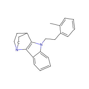 Cc1ccccc1CCn1c2c(c3ccccc31)N1CCC2CC1